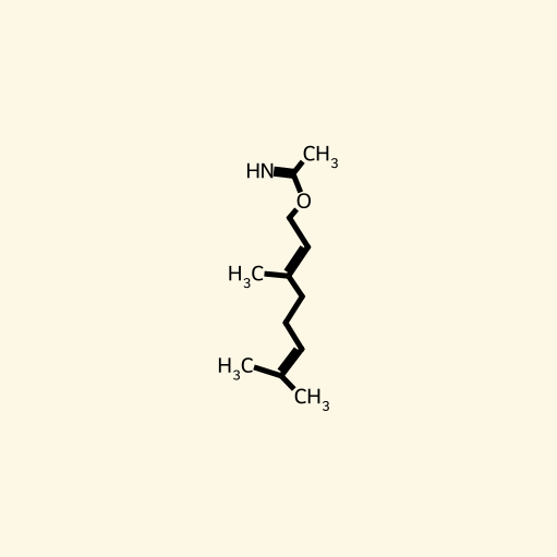 CC(=N)OC/C=C(\C)CCC=C(C)C